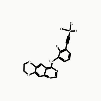 CCS(C#Cc1cccc(Nc2ncnc3cc4c(cc23)OCCO4)c1F)(CC)CC